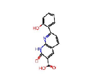 O=C(O)c1cc2ccc(-c3ccccc3O)nc2[nH]c1=O